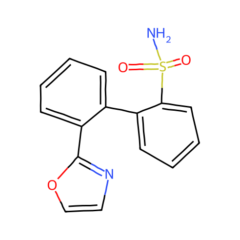 NS(=O)(=O)c1ccccc1-c1ccccc1-c1ncco1